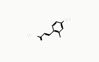 COC(=O)/C=C/c1ccc(N)cc1C